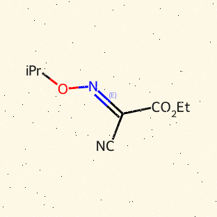 CCOC(=O)/C(C#N)=N/OC(C)C